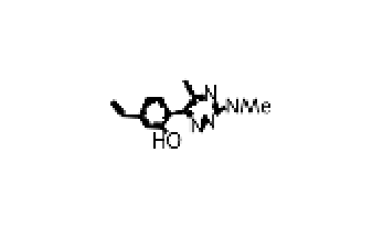 C=Cc1ccc(-c2nnc(NC)nc2C)c(O)c1